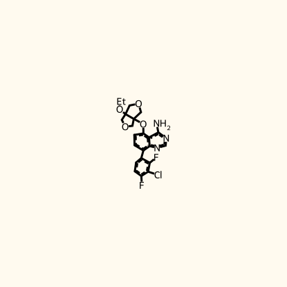 CCOC12COCC1(Oc1ccc(-c3ccc(F)c(Cl)c3F)c3ncnc(N)c13)COC2